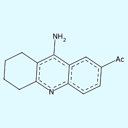 CC(=O)c1ccc2nc3c(c(N)c2c1)CCCC3